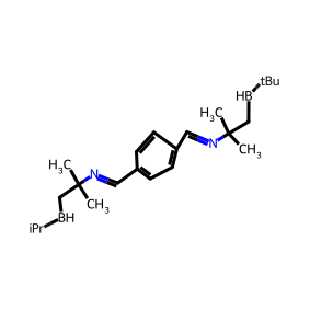 CC(C)BCC(C)(C)/N=C/c1ccc(/C=N/C(C)(C)CBC(C)(C)C)cc1